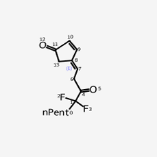 CCCCCC(F)(F)C(=O)C/C=C1/C=CC(=O)C1